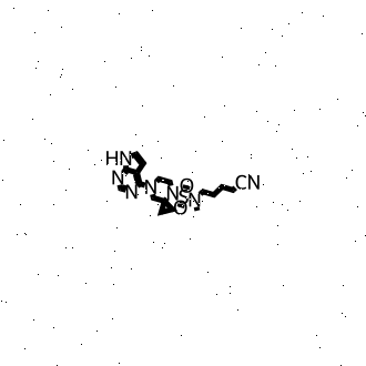 CN(CCCCC#N)S(=O)(=O)N1CCN(c2ncnc3[nH]ccc23)CC12CC2